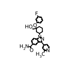 Cc1cc(-c2nn(C3CCCC(CO)(Oc4cccc(F)c4)C3)c3ccc(C(N)=O)cc23)ccn1